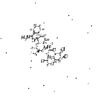 CN(C(=O)CN1C(=O)COc2cc(Cl)c(Cl)cc21)C(CN1CCCC1)c1ccc(-c2ccccc2C(N)=O)cc1